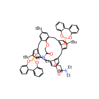 CCN(CC)C(=O)COc1c2cc(C(C)(C)C)cc1Cc1cc(C(C)(C)C)cc(c1Op1oc3ccccc3c3ccccc3o1)Cc1cc(C(C)(C)C)cc(c1OCC(=O)N(CC)CC)Cc1cc(C(C)(C)C)cc(c1Op1oc3ccccc3c3ccccc3o1)C2